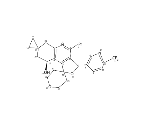 CC(C)c1nc2c(c3c1[C@H](c1ccc(C(F)(F)F)nc1)OC31CCOCC1)[C@@H](O)CC1(CC1)C2